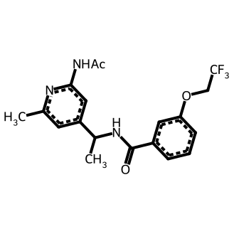 CC(=O)Nc1cc(C(C)NC(=O)c2cccc(OCC(F)(F)F)c2)cc(C)n1